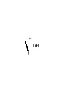 I.II.[LiH]